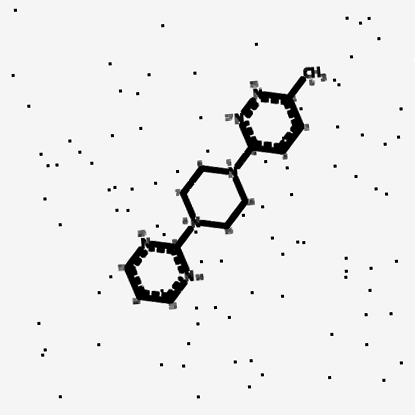 Cc1ccc(N2CCN(c3ncccn3)CC2)nn1